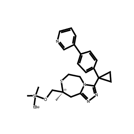 CC(C)(C)[Si](C)(C)OC[C@]1(C)Cc2nnc(C3(c4ccc(-c5cccnc5)cc4)CC3)n2CCS1